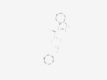 O=C(N1CCN(Cc2ccc(F)cc2)CC1)n1nnc2ccccc21